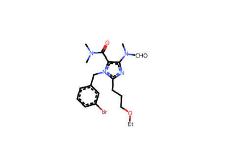 CCOCCCc1nc(N(C)C=O)c(C(=O)N(C)C)n1Cc1cccc(Br)c1